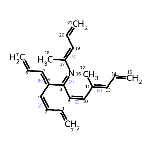 C=C\C=C/C(=C\C=C)C(/C=C\C(C)=C\C=C)=N\C(C)=C\C=C